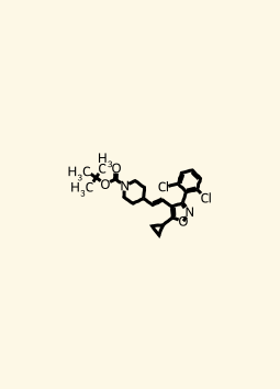 CC(C)(C)OC(=O)N1CCC(/C=C/c2c(-c3c(Cl)cccc3Cl)noc2C2CC2)CC1